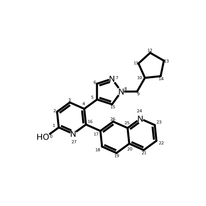 Oc1ccc(-c2cnn(CC3CCCC3)c2)c(-c2ccc3cccnc3c2)n1